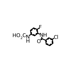 O=C(O)Nc1ccc(F)c(NC(=O)c2cccc(Cl)c2)c1